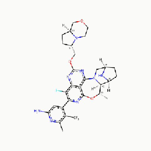 Cc1nc(N)cc(-c2nc3c4c(nc(OC[C@@H]5CC[C@H]6COCCN65)nc4c2F)N2C[C@H]4CC[C@H](N4)[C@H]2[C@H](C)O3)c1C(F)(F)F